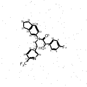 O=C(C(O)c1ccc(F)cc1)N(CCc1ccc(C(F)(F)F)nc1)c1ccc2c(c1)CCC2